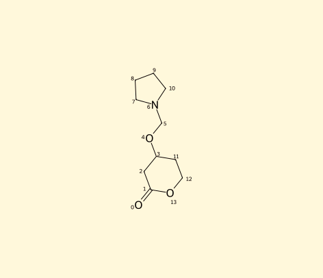 O=C1CC(OCN2CCCC2)CCO1